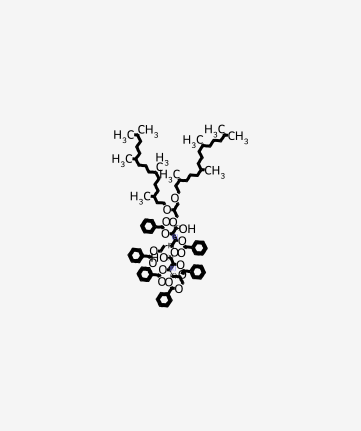 CC(C)CCCC(C)CCCC(C)CCCC(C)CCOCC(CO[C@H](O)/C(OC(=O)c1ccccc1)=C(\OC(=O)c1ccccc1)[C@@H](CCOC(=O)c1ccccc1)O[C@H](O)/C(OC(=O)c1ccccc1)=C(\OC(=O)c1ccccc1)[C@@H]1CCOC(c2ccccc2)O1)OCCC(C)CCCC(C)CCCC(C)CCCC(C)C